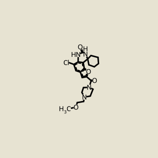 COCCN1CCN(C(=O)c2cc3cc(Cl)c4c(c3o2)C2(CCCCC2)NC(=O)N4)CC1